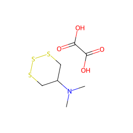 CN(C)C1CSSSC1.O=C(O)C(=O)O